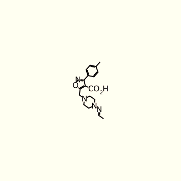 C/C=N/N1CCN(Cc2onc(-c3ccc(C)cc3)c2C(=O)O)CC1